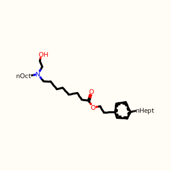 CCCCCCCCN(CCO)CCCCCCCC(=O)OCCc1ccc(CCCCCCC)cc1